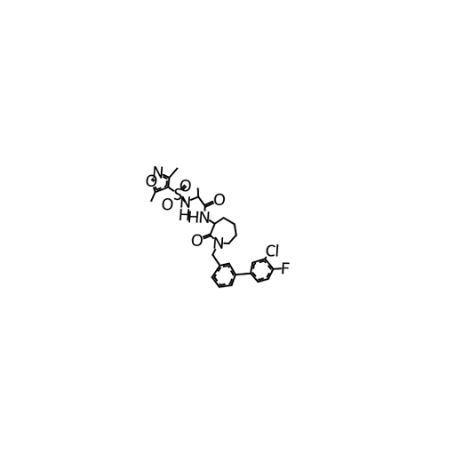 Cc1noc(C)c1S(=O)(=O)NC(C)C(=O)NC1CCCCN(Cc2cccc(-c3ccc(F)c(Cl)c3)c2)C1=O